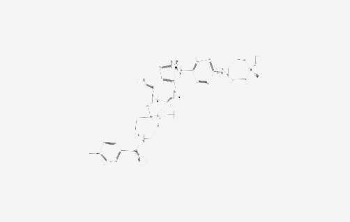 Cc1ccc(C(=O)N2CCC(O)(Cn3cnc4c(cnn4-c4ccc(N5CCC(F)(F)CC5)cc4)c3=O)CC2)cc1